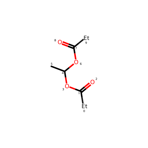 CCC(=O)OC(C)OC(=O)CC